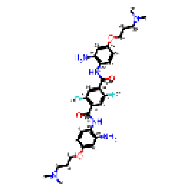 CN(C)CCCOc1ccc(NC(=O)c2cc(F)c(C(=O)Nc3ccc(OCCCN(C)C)cc3N)cc2F)c(N)c1